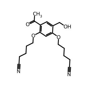 CC(=O)c1cc(CO)c(OCCCCC#N)cc1OCCCCC#N